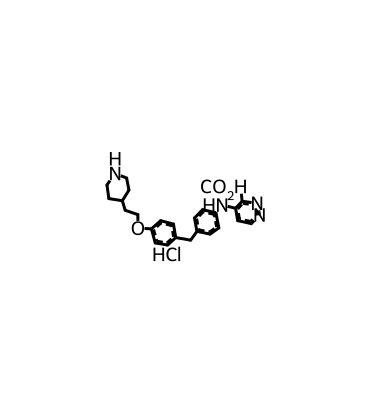 Cl.O=C(O)c1nnccc1Nc1ccc(Cc2ccc(OCCC3CCNCC3)cc2)cc1